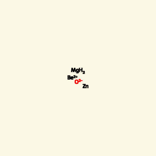 [Be+2].[MgH2].[O-2].[Zn]